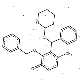 Cn1ccc(=O)c(OCc2ccccc2)c1C(OC1CCCCO1)c1ccccc1